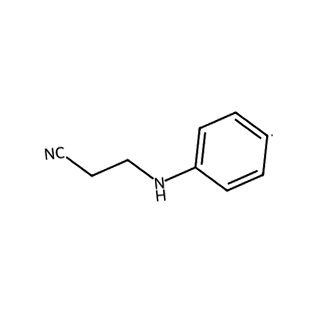 N#CCCNc1cc[c]cc1